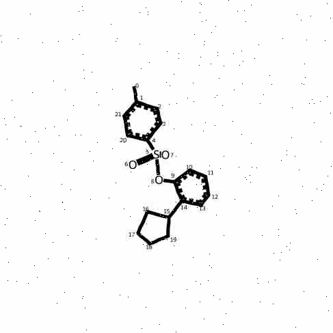 Cc1ccc(S(=O)(=O)Oc2ccccc2C2CCCC2)cc1